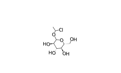 CC(Cl)OC1O[C@H](CO)[C@@H](O)[C@H](O)[C@H]1O